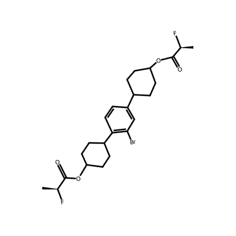 C[C@H](F)C(=O)OC1CCC(c2ccc(C3CCC(OC(=O)[C@H](C)F)CC3)c(Br)c2)CC1